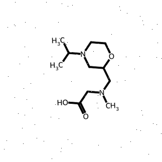 CC(C)N1CCOC(CN(C)CC(=O)O)C1